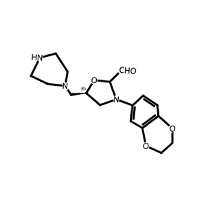 O=CC1O[C@H](CN2CCNCC2)CN1c1ccc2c(c1)OCCO2